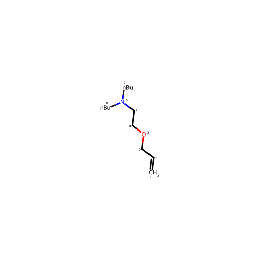 C=CCOCCN(CCCC)CCCC